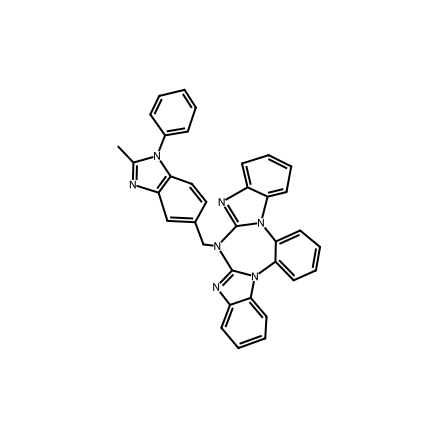 Cc1nc2cc(Cn3c4nc5ccccc5n4c4ccccc4n4c5ccccc5nc34)ccc2n1-c1ccccc1